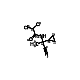 CC(C#N)(NC(=O)C(Cl)Cl)C1CC1